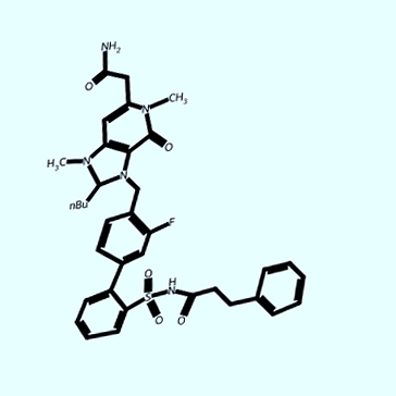 CCCCC1N(C)c2cc(CC(N)=O)n(C)c(=O)c2N1Cc1ccc(-c2ccccc2S(=O)(=O)NC(=O)CCc2ccccc2)cc1F